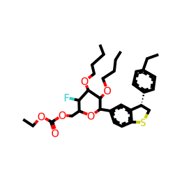 CCCCOC1C(c2ccc3c(c2)[C@H](c2ccc(CC)cc2)CS3)OC(COC(=O)OCC)C(F)C1OCCCC